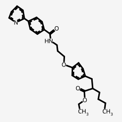 CCCCC(Cc1ccc(OCCCNC(=O)c2ccc(-c3ccccn3)cc2)cc1)C(=O)OCC